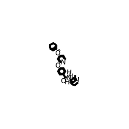 C1CC2CCC1CC2.COc1ccnc(Oc2ccc(C(=O)N[C@@H]3C4CCN(CC4)[C@H]3C)cc2)c1